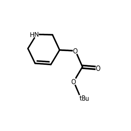 CC(C)(C)OC(=O)OC1C=CCNC1